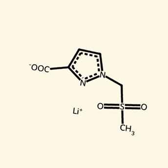 CS(=O)(=O)Cn1ccc(C(=O)[O-])n1.[Li+]